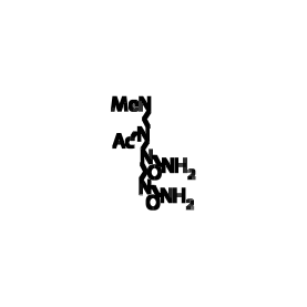 CNCCCN(CCN(CCCN(C)CC(N)=O)CC(N)=O)CC(C)=O